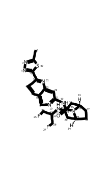 Cc1nnc(-c2ccc3cnc(NC(=O)N4[C@@H]5CC[C@H]4CC(NC(CF)CF)C5)cc3n2)s1